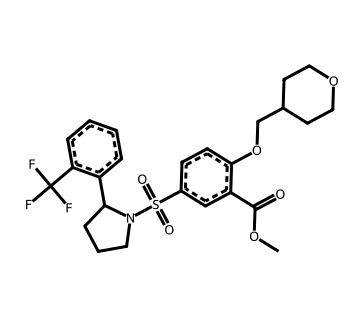 COC(=O)c1cc(S(=O)(=O)N2CCCC2c2ccccc2C(F)(F)F)ccc1OCC1CCOCC1